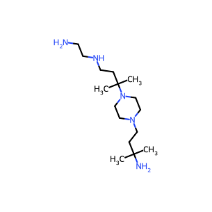 CC(C)(N)CCN1CCN(C(C)(C)CCNCCN)CC1